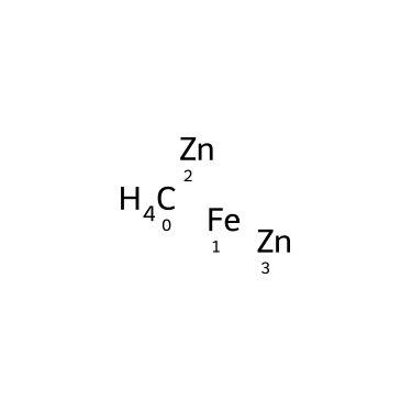 C.[Fe].[Zn].[Zn]